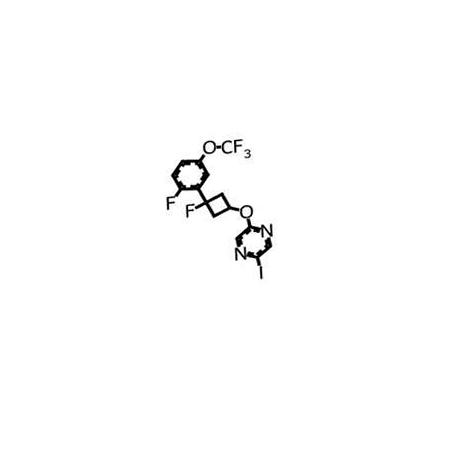 Fc1ccc(OC(F)(F)F)cc1C1(F)CC(Oc2cnc(I)cn2)C1